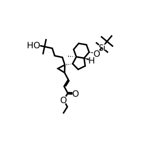 CCOC(=O)C=CC1CC1(CCCC(C)(C)O)[C@H]1CC[C@H]2[C@@H](O[Si](C)(C)C(C)(C)C)CCC[C@]12C